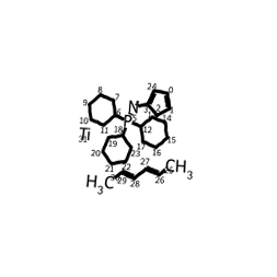 C1=CCC(N=P(C2CCCCC2)(C2CCCCC2)C2CCCCC2)=C1.CC=CC=CC.[Ti]